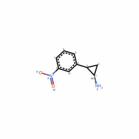 N[C@@H]1CC1c1cccc([N+](=O)[O-])c1